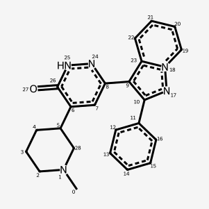 CN1CCCC(c2cc(-c3c(-c4ccccc4)nn4ccccc34)n[nH]c2=O)C1